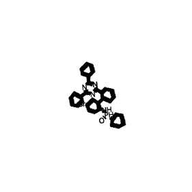 O=[PH](Nc1ccc(Br)cc1-c1ccccc1-c1nc(-c2ccccc2)nc(-c2ccccc2)n1)c1ccccc1